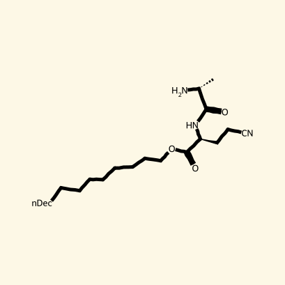 CCCCCCCCCCCCCCCCCCOC(=O)[C@H](CCC#N)NC(=O)[C@@H](C)N